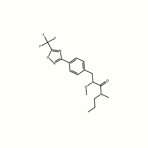 CCCN(C)C(=O)N(Cc1ccc(-c2noc(C(F)(F)F)n2)cc1)OC